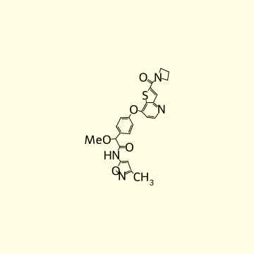 COC(C(=O)Nc1cc(C)no1)c1ccc(Oc2ccnc3cc(C(=O)N4CCC4)sc23)cc1